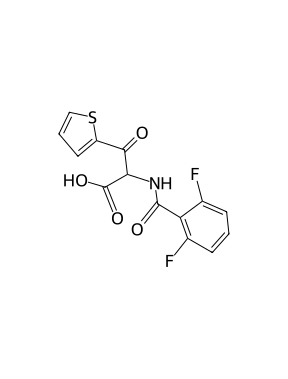 O=C(NC(C(=O)O)C(=O)c1cccs1)c1c(F)cccc1F